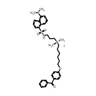 CN(C)c1cccc2c(S(=O)(=O)NCCC[N+](C)(C)CCCCCCOc3ccc(C(=O)c4ccccc4)cc3)cccc12.[I-]